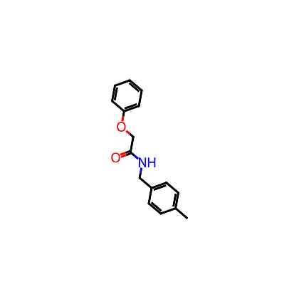 Cc1ccc(CNC(=O)COc2ccccc2)cc1